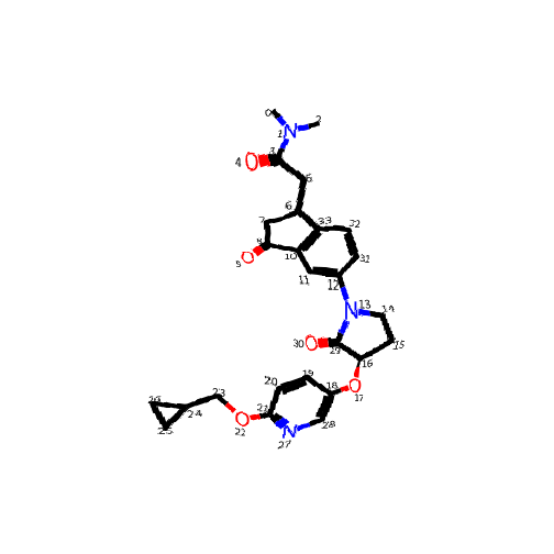 CN(C)C(=O)CC1CC(=O)c2cc(N3CC[C@@H](Oc4ccc(OCC5CC5)nc4)C3=O)ccc21